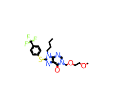 CCCCn1c(Sc2ccc(C(F)(F)F)cc2)nc2c(=O)n(COCCOC)cnc21